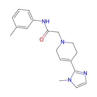 Cc1cccc(NC(=O)CN2CC=C(c3nccn3C)CC2)c1